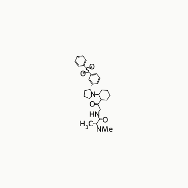 CN[C@@H](C)C(=O)NCC(=O)C1CCCCC1N1CCC[C@@H]1c1cccc(S(=O)(=O)c2ccccc2)c1